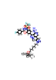 CC(Oc1cc(-c2nn(C)c3c(-c4cnn(CCCCCCCO[Si](C)(C)C(C)(C)C)c4)cnc(N)c23)ccc1NS(=O)(=O)C(F)F)c1ccc(F)cc1